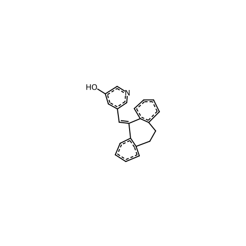 Oc1cncc(C=C2c3ccccc3CCc3ccccc32)c1